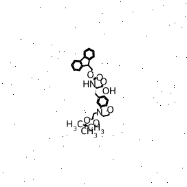 CC(C)(C)OC(=O)CN1CCOc2ccc(C[C@H](NC(=O)OCC3c4ccccc4-c4ccccc43)C(=O)O)cc21